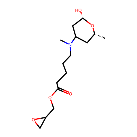 C[C@@H]1CC(N(C)CCCCC(=O)OCC2CO2)C[C@H](O)O1